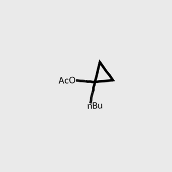 CCCCC1(OC(C)=O)CC1